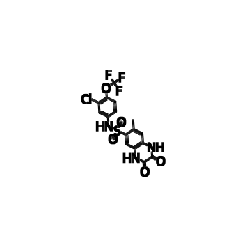 Cc1cc2[nH]c(=O)c(=O)[nH]c2cc1S(=O)(=O)Nc1ccc(OC(F)(F)F)c(Cl)c1